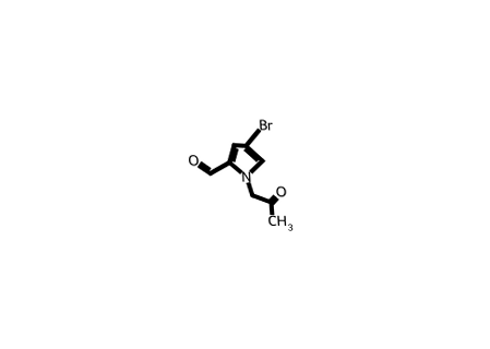 CC(=O)Cn1cc(Br)cc1C=O